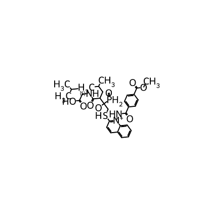 COC(=O)c1ccc(C(=O)N[n+]2c(SCC(O)([PH2]=O)C(CC(C)C)C(=O)N[C@@H](CC(C)C)C(=O)O)ccc3ccccc32)cc1